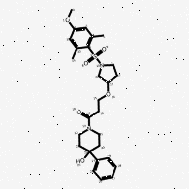 COc1cc(C)c(S(=O)(=O)N2CCC(OCCC(=O)N3CCC(O)(c4ccccc4)CC3)C2)c(C)c1